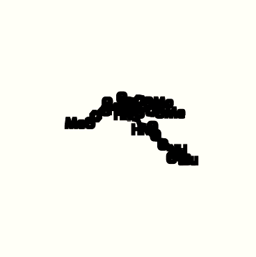 COc1ccc(COC(=O)CC[C@H](NC(=O)N[C@@H](CCCCNC(=O)COCCOCCNC(=O)OC(C)(C)C)C(=O)OCc2ccc(OC)cc2)C(=O)OCc2ccc(OC)cc2)cc1